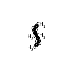 Cc1ccc(S(=O)(=O)Oc2ccc(C(C)(C)c3ccc(OS(=O)(=O)c4ccc(C)cc4)cc3)cc2)cc1